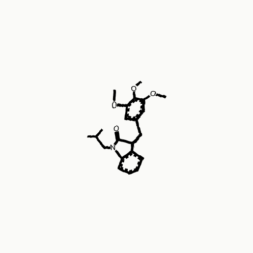 COc1cc(CC2C(=O)N(CC(C)C)c3ccccc32)cc(OC)c1OC